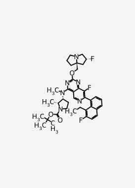 CCc1c(F)ccc2cccc(-c3ncc4c(N(C)[C@@H]5CCN(C(=O)OC(C)(C)C)[C@@H]5C)nc(OC[C@@]56CCCN5C[C@H](F)C6)nc4c3F)c12